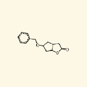 O=C1CC2CC(OCc3ccccc3)CC2O1